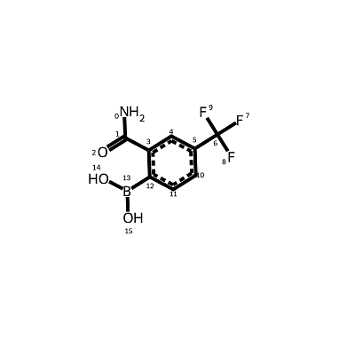 NC(=O)c1cc(C(F)(F)F)ccc1B(O)O